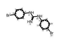 N=C(Nc1ccc(Br)cc1)Nc1ccc(Br)cc1